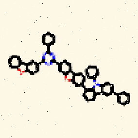 c1ccc(-c2ccc3c(c2)c2cccc(-c4ccc5c(c4)oc4cc(-c6nc(-c7ccccc7)nc(-c7ccc8oc9ccccc9c8c7)n6)ccc45)c2n3-c2ccccc2)cc1